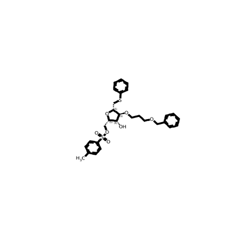 Cc1ccc(S(=O)(=O)OC[C@@H]2O[C@H](CSc3ccccc3)[C@@H](OCCCOCc3ccccc3)[C@@H]2O)cc1